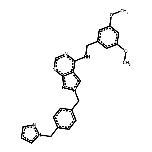 COc1cc(CNc2ncnc3nn(Cc4ccc(Cn5cccn5)cc4)cc23)cc(OC)c1